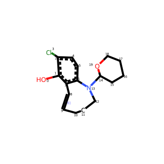 Oc1c(Cl)ccc2c1/C=C/CCCN2C1CCCCO1